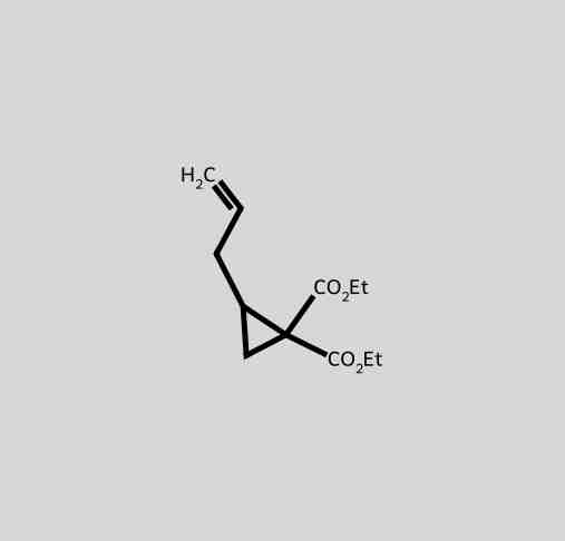 C=CCC1CC1(C(=O)OCC)C(=O)OCC